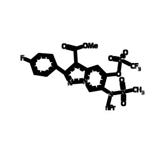 CCCN(c1cn2nc(-c3ccc(F)cc3)c(C(=O)OC)c2cc1OS(=O)(=O)C(F)(F)F)S(C)(=O)=O